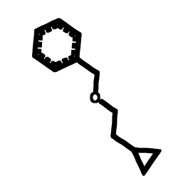 c1ccc(COCCC2CC2)cc1